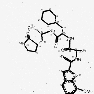 COc1cccc2cc(C(=O)NC(C(=O)N[C@@H](CC3CCCCC3)C(=O)N[C@H](C=O)C[C@@H]3CCNC3=O)C(C)C)oc12